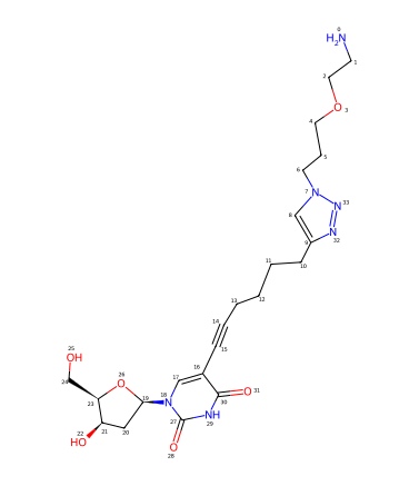 NCCOCCCn1cc(CCCCC#Cc2cn([C@H]3C[C@@H](O)[C@@H](CO)O3)c(=O)[nH]c2=O)nn1